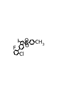 Cc1ccc(S(=O)(=O)n2cc(I)c3cc(-c4c(F)cccc4Cl)ccc32)cc1